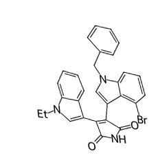 CCn1cc(C2=C(c3cn(Cc4ccccc4)c4cccc(Br)c34)C(=O)NC2=O)c2ccccc21